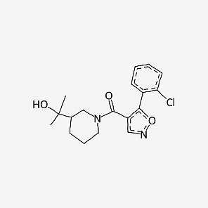 CC(C)(O)C1CCCN(C(=O)c2cnoc2-c2ccccc2Cl)C1